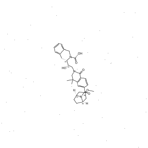 CO[C@H]1C[C@H]2CC[C@@H](C1)N2C(=O)c1ccc2c(c1)C(C)(C)CN(C[C@H](O)[C@@H]1Cc3ccccc3CN1C(=O)O)C2=O